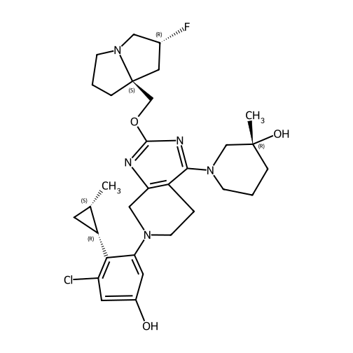 C[C@H]1C[C@H]1c1c(Cl)cc(O)cc1N1CCc2c(nc(OC[C@@]34CCCN3C[C@H](F)C4)nc2N2CCC[C@@](C)(O)C2)C1